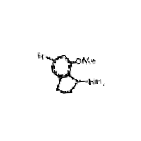 COc1cc(Br)cc2c1C(N)CC2